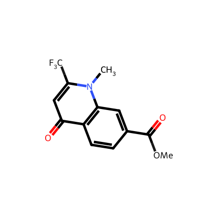 COC(=O)c1ccc2c(=O)cc(C(F)(F)F)n(C)c2c1